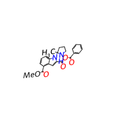 COC(=O)c1cccc2c1cc(C(=O)OC(=O)c1ccccc1)n2C1(C)CCCN1